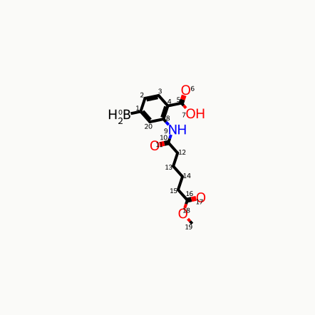 Bc1ccc(C(=O)O)c(NC(=O)CCCCC(=O)OC)c1